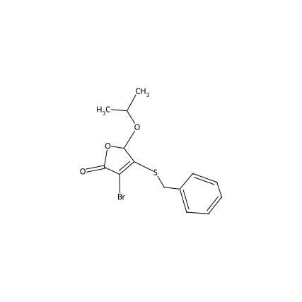 CC(C)OC1OC(=O)C(Br)=C1SCc1ccccc1